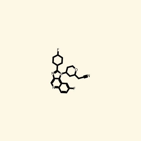 N#CCC1CC(n2c(C3CCC(F)CC3)nc3cnc4ccc(F)cc4c32)CCO1